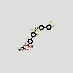 CCCC1(C)COC(O)(c2ccc(-c3cc(F)c(C(F)(F)Oc4ccc(-c5cc(F)c(F)c(F)c5)c(F)c4)c(F)c3)c(F)c2)OC1